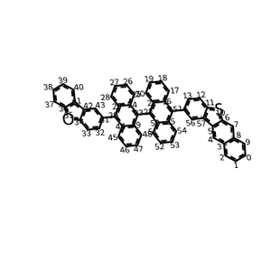 c1ccc2cc3c(cc2c1)sc1ccc(-c2c4ccccc4c(-c4c5ccccc5c(-c5ccc6oc7ccccc7c6c5)c5ccccc45)c4ccccc24)cc13